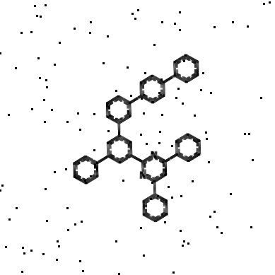 c1ccc(-c2ccc(-c3cccc(-c4cc(-c5ccccc5)cc(-c5nc(-c6ccccc6)cc(-c6ccccc6)n5)c4)c3)cc2)cc1